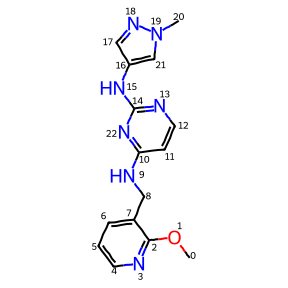 COc1ncccc1CNc1ccnc(Nc2cnn(C)c2)n1